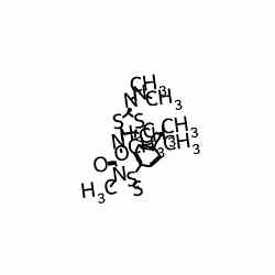 CN(C)N=C1SC(=NOC(=O)N(C)S(=S)c2ccc(C(C)(C)C)cc2)C(C)(C)S1